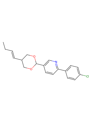 CCC=CC1COC(c2ccc(-c3ccc(Cl)cc3)nc2)OC1